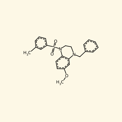 COc1ccc2c(c1)N(Cc1ccccc1)CCN2S(=O)(=O)c1cccc(C)c1